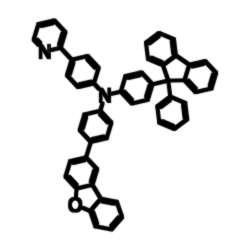 c1ccc(C2(c3ccc(N(c4ccc(-c5ccc6oc7ccccc7c6c5)cc4)c4ccc(-c5ccccn5)cc4)cc3)c3ccccc3-c3ccccc32)cc1